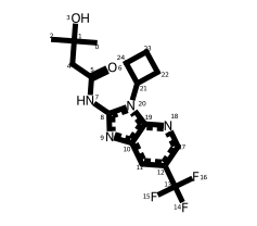 CC(C)(O)CC(=O)Nc1nc2cc(C(F)(F)F)cnc2n1C1CCC1